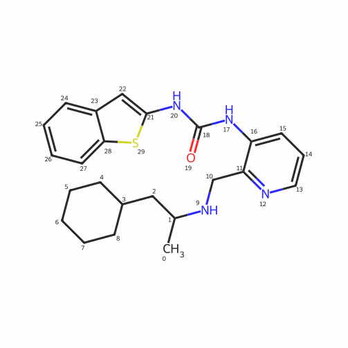 CC(CC1CCCCC1)NCc1ncccc1NC(=O)Nc1cc2ccccc2s1